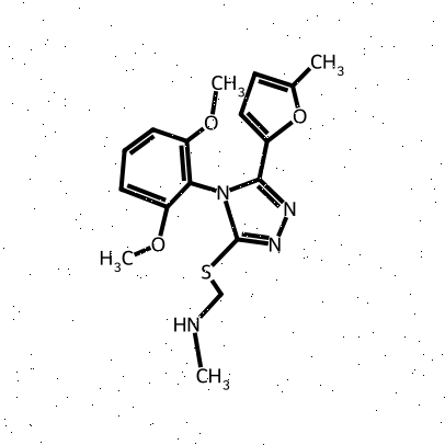 CNCSc1nnc(-c2ccc(C)o2)n1-c1c(OC)cccc1OC